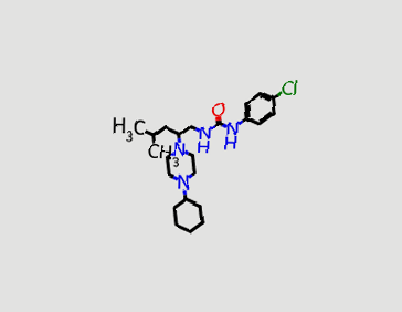 CC(C)CC(CNC(=O)Nc1ccc(Cl)cc1)N1CCN(C2CCCCC2)CC1